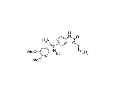 C=CCOC(=O)Nc1ccc(-c2c(N)c3cc(OC)c(OC)cc3n2CC)cc1